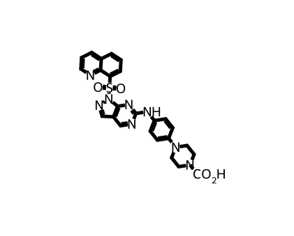 O=C(O)N1CCN(c2ccc(Nc3ncc4cnn(S(=O)(=O)c5cccc6cccnc56)c4n3)cc2)CC1